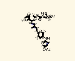 CC(=O)O[C@@H](C)/C=C\C(=O)N[C@@H]1C[C@H](C)[C@H](C/C=C(C)/C=C/[C@H]2O[C@H](CC(=O)NC[Si](C)(C)O)C[C@@]3(CO3)[C@@H]2O)O[C@@H]1C